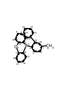 Cc1ccc(B2c3ccccc3Oc3ccccc32)c(-c2ccccc2)c1